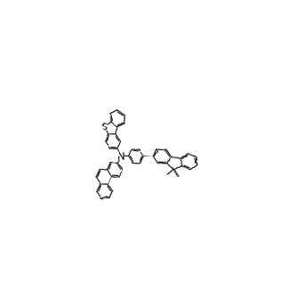 CC1(C)c2ccccc2-c2ccc(-c3ccc(N(c4ccc5c(ccc6ccccc65)c4)c4ccc5sc6ccccc6c5c4)cc3)cc21